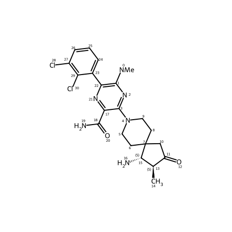 CNc1nc(N2CCC3(CC2)CC(=O)[C@@H](C)[C@@H]3N)c(C(N)=O)nc1-c1cccc(Cl)c1Cl